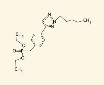 CCCCCn1ncc(-c2ccc(CP(=O)(OCC)OCC)cc2)n1